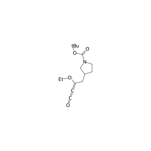 CCOC(=C=C=O)CC1CCN(C(=O)OC(C)(C)C)C1